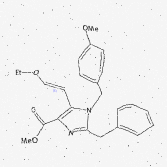 CCO/C=C/c1c(C(=O)OC)nc(Cc2ccccc2)n1Cc1ccc(OC)cc1